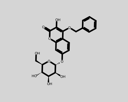 O=c1oc2cc(O[C@H]3O[C@H](CO)[C@@H](O)[C@H](O)[C@@H]3O)ccc2c(OCc2ccccc2)c1O